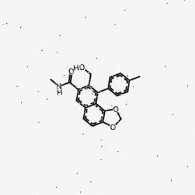 CNC(=O)c1cc2ccc3c(c2c(-c2ccc(C)cc2)c1CO)OCO3